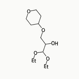 CCOC(OCC)C(O)COC1CCOCC1